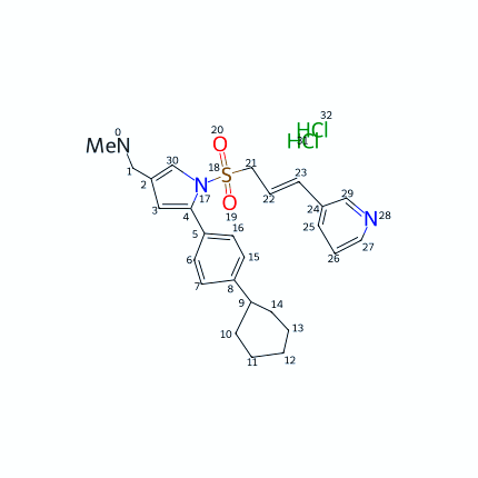 CNCc1cc(-c2ccc(C3CCCCC3)cc2)n(S(=O)(=O)CC=Cc2cccnc2)c1.Cl.Cl